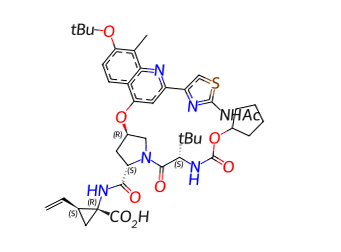 C=C[C@@H]1C[C@]1(NC(=O)[C@@H]1C[C@@H](Oc2cc(-c3csc(NC(C)=O)n3)nc3c(C)c(OC(C)(C)C)ccc23)CN1C(=O)[C@@H](NC(=O)OC1CCCC1)C(C)(C)C)C(=O)O